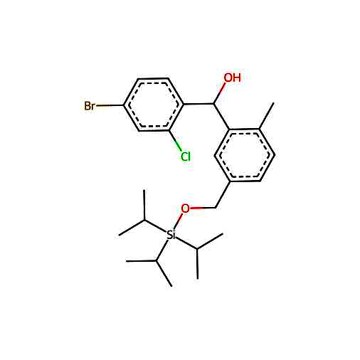 Cc1ccc(CO[Si](C(C)C)(C(C)C)C(C)C)cc1C(O)c1ccc(Br)cc1Cl